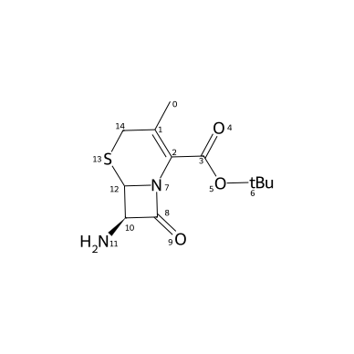 CC1=C(C(=O)OC(C)(C)C)N2C(=O)[C@@H](N)C2SC1